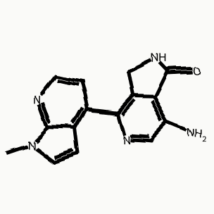 Cn1ccc2c(-c3ncc(N)c4c3CNC4=O)ccnc21